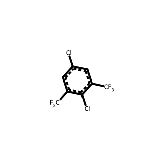 FC(F)(F)c1cc(Cl)cc(C(F)(F)F)c1Cl